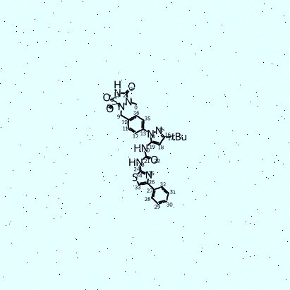 CN1C(=O)NS(=O)(=O)N1Cc1ccc(-n2nc(C(C)(C)C)cc2NC(=O)Nc2nc(-c3ccccc3)cs2)cc1